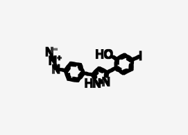 [N-]=[N+]=Nc1ccc(-c2cc(-c3ccc(I)cc3O)n[nH]2)cc1